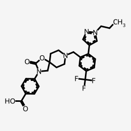 CCCn1cc(-c2ccc(C(F)(F)F)cc2CN2CCC3(CC2)CN(c2ccc(C(=O)O)cc2)C(=O)O3)cn1